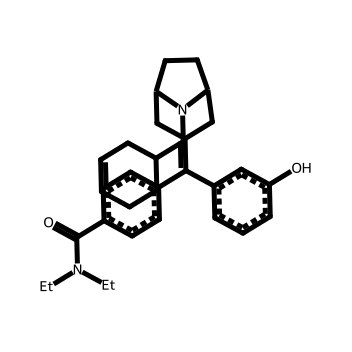 CCN(CC)C(=O)c1ccc(C(=C2CC3CCC(C2)N3CC2CC=CCC2)c2cccc(O)c2)cc1